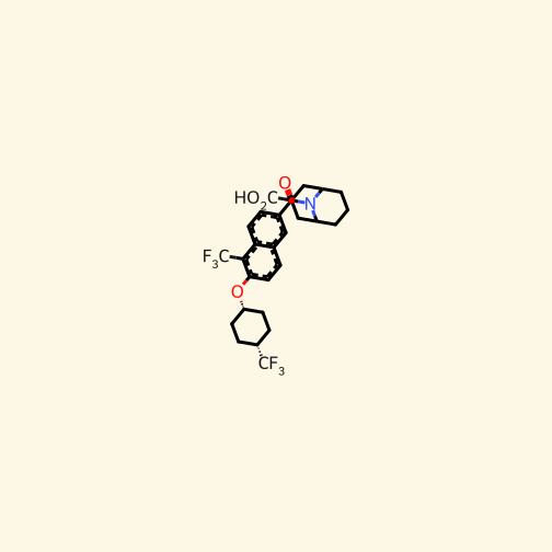 O=C(O)C1CC2CCCC(C1)N2C(=O)c1ccc2c(C(F)(F)F)c(O[C@H]3CC[C@@H](C(F)(F)F)CC3)ccc2c1